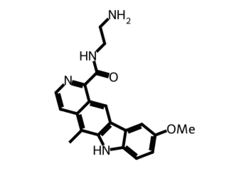 COc1ccc2[nH]c3c(C)c4ccnc(C(=O)NCCN)c4cc3c2c1